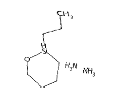 CCC[SiH]1CCCCO1.N.N